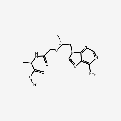 CC(C)OC(=O)C(C)NC(=O)CO[C@H](C)Cn1cnc2c(N)ncnc21